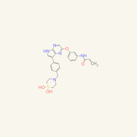 C=CC(=O)Nc1cccc(Oc2cnc3[nH]cc(-c4ccc(CN5CCS(O)(O)CC5)cc4)c3n2)c1